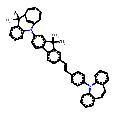 CC1(C)c2cc(/C=C/c3ccc(N4c5ccccc5C=Cc5ccccc54)cc3)ccc2-c2ccc(N3C4=CC(C=CC=C4)C(C)(C)c4ccccc43)cc21